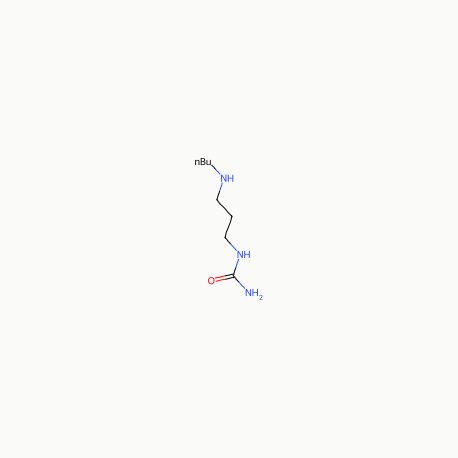 CCCCNCCCNC(N)=O